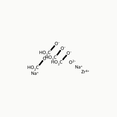 O=C([O-])O.O=C([O-])O.O=C([O-])O.O=C([O-])O.[Na+].[Na+].[O-2].[Zr+4]